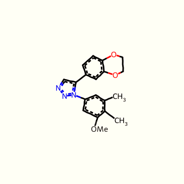 COc1cc(-n2nncc2-c2ccc3c(c2)OCCO3)cc(C)c1C